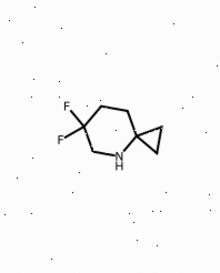 FC1(F)CCC2(CC2)NC1